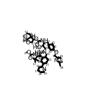 COC(=O)N[C@H](C(=O)NN(Cc1ccc(-c2ccccn2)cc1)C[C@H](O)[C@H](Cc1ccc(OCc2csc(C)n2)cc1)NC(=O)O[C@H]1CO[C@H]2OCC[C@H]21)C(C)(C)C